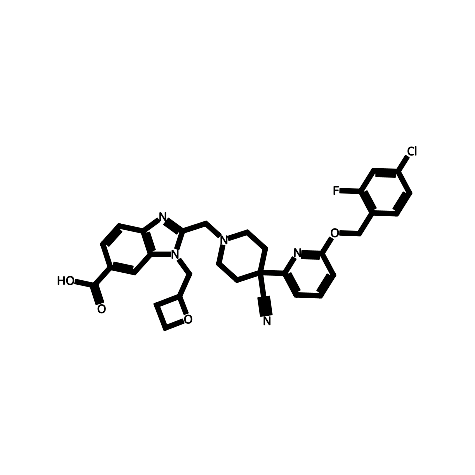 N#CC1(c2cccc(OCc3ccc(Cl)cc3F)n2)CCN(Cc2nc3ccc(C(=O)O)cc3n2CC2CCO2)CC1